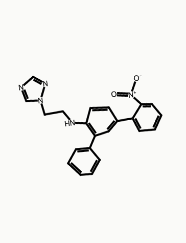 O=[N+]([O-])c1ccccc1-c1ccc(NCCn2cncn2)c(-c2ccccc2)c1